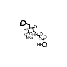 CCCCOC(=O)NC(Cc1ccccc1)C(=O)CCNC(=O)OC(=O)[C@@H]1CCCN1